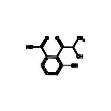 CC(O)C(=O)c1c(O)cccc1C(=O)O